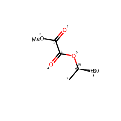 COC(=O)C(=O)O[C@H](C)C(C)(C)C